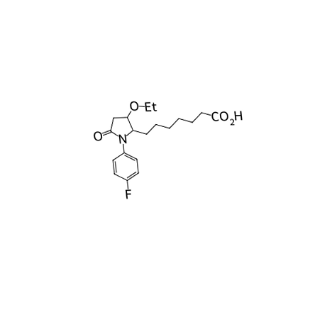 CCOC1CC(=O)N(c2ccc(F)cc2)C1CCCCCCC(=O)O